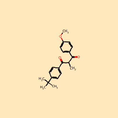 COc1ccc(C(=O)C(C)C(=O)c2ccc(C(C)(C)C)cc2)cc1